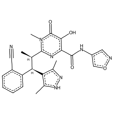 Cc1n[nH]c(C)c1[C@@H](c1ccccc1C#N)[C@@H](C)c1nc(C(=O)Nc2cnoc2)c(O)c(=O)n1C